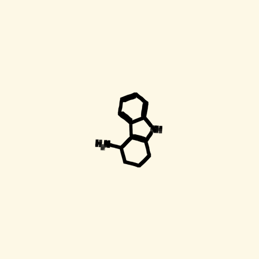 NC1CCCc2[nH]c3ccccc3c21